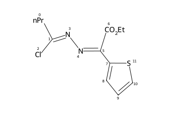 CCCC(Cl)=NN=C(C(=O)OCC)c1cccs1